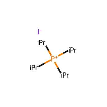 CC(C)[P+](C(C)C)(C(C)C)C(C)C.[I-]